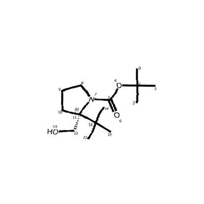 CC(C)(C)OC(=O)N1CCC[C@]1(CO)C(C)(C)C